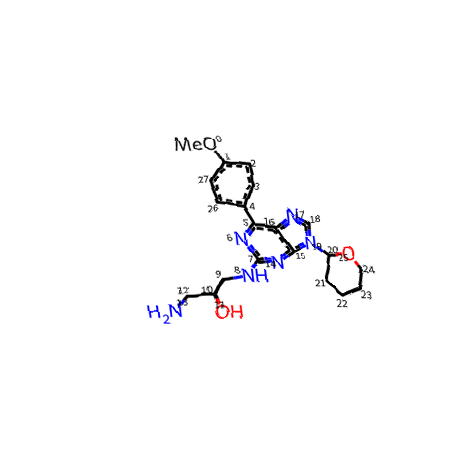 COc1ccc(-c2nc(NCC(O)CN)nc3c2ncn3C2CCCCO2)cc1